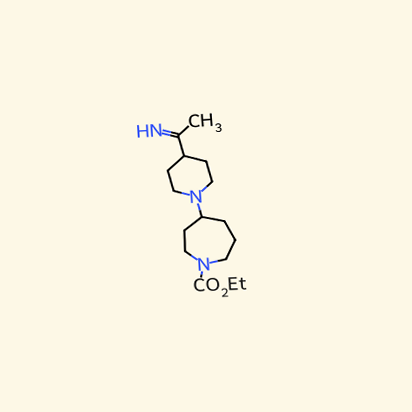 CCOC(=O)N1CCCC(N2CCC(C(C)=N)CC2)CC1